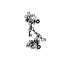 N#CCCOP(OCCSCCOP(OCCC1=NC1)OC[C@H]1O[C@@H](n2cnc3c(=O)[nH]c(N)nc32)C[C@@H]1OB(O)c1ccccc1)OC[C@H]1O[C@@H](n2cnc3c(=O)[nH]c(N)nc32)[C@@H]2OB(c3ccccc3)O[C@@H]21